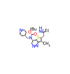 CC[C@H](N)Cc1sc2c(N(Cc3ccncc3)C(=O)OC(C)(C)C)cnnc2c1C